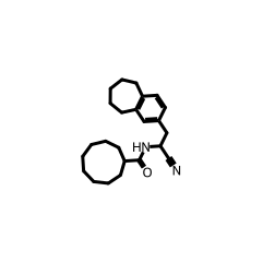 N#CC(Cc1ccc2c(c1)CCCCC2)NC(=O)C1CCCCCCCC1